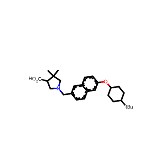 CC(C)(C)C1CCC(Oc2ccc3cc(CN4CC(C(=O)O)C(C)(C)C4)ccc3c2)CC1